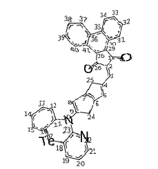 O=C1C(=CC2=CC3=C(C=C(N4c5ccccc5[Te]c5cccnc54)C3)C2)C(=O)c2c1c1ccccc1c1ccccc21